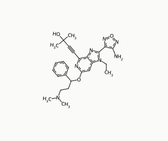 CCn1c(-c2nonc2N)nc2c(C#CC(C)(C)O)nc(OC(CCN(C)C)c3ccccc3)cc21